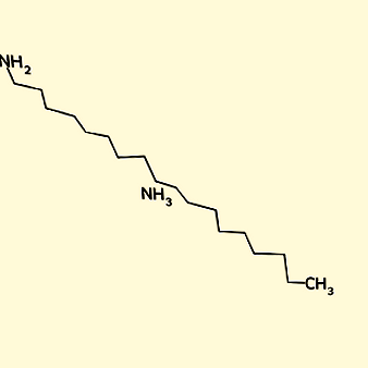 CCCCCCCCCCCCCCCCCCN.N